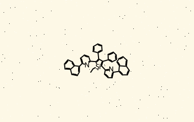 CC[Si]1(C)C(c2cccc(-c3cccc4ccccc34)n2)=C(c2ccccc2)C(c2ccccc2)=C1c1cccc(-c2cccc3ccccc23)n1